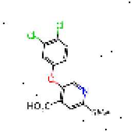 CSc1cc(C(=O)O)c(Oc2ccc(Cl)c(Cl)c2)cn1